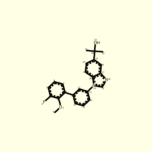 COc1c(F)cccc1-c1cccc(-n2cnc3cc(C(C)(C)O)ccc32)c1